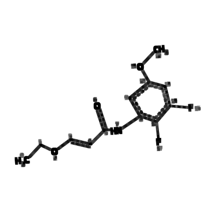 CCOC=CC(=O)Nc1cc(OC)cc(F)c1F